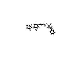 O=P(O)(Oc1ccc(CCCCSN2CN=C(c3ccccc3)N2)cc1Br)C(F)F